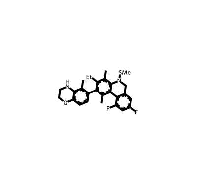 CCc1c(C)c2c(c(C)c1-c1ccc3c(c1C)NCCO3)-c1c(F)cc(F)cc1CN2SC